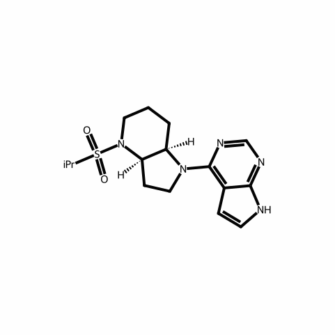 CC(C)S(=O)(=O)N1CCC[C@@H]2[C@H]1CCN2c1ncnc2[nH]ccc12